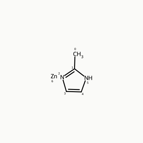 Cc1ncc[nH]1.[Zn]